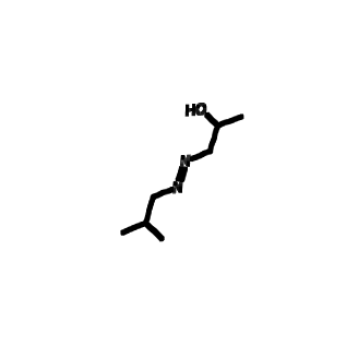 CC(C)CN=NCC(C)O